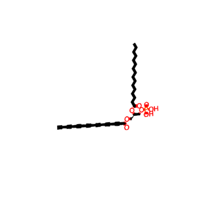 C#CC#CC#CC#CC#CC#CC#CC(=O)OC[C@@H](COP(=O)(O)O)OC(=O)CCCCCCCCCCCCCCC